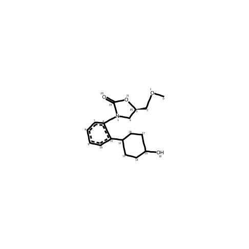 COC[C@H]1CN(c2ccccc2C2CCC(O)CC2)C(=O)O1